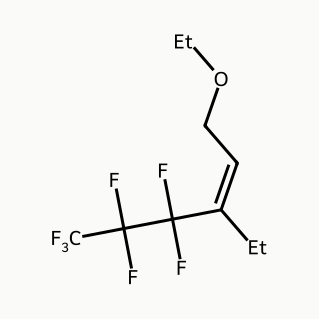 [CH2]COCC=C(CC)C(F)(F)C(F)(F)C(F)(F)F